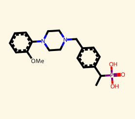 COc1ccccc1N1CCN(Cc2ccc(C(C)P(=O)(O)O)cc2)CC1